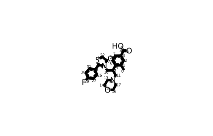 Cc1cc(C(=O)O)ccc1C(CN1CCOCC1)CN1C(=O)CSC1c1ccc(F)cc1